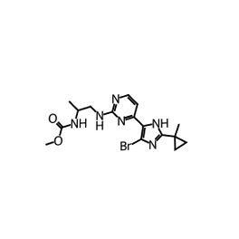 COC(=O)NC(C)CNc1nccc(-c2[nH]c(C3(C)CC3)nc2Br)n1